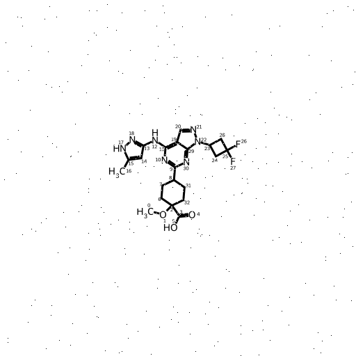 COC1(C(=O)O)CCC(c2nc(Nc3cc(C)[nH]n3)c3cnn(C4CC(F)(F)C4)c3n2)CC1